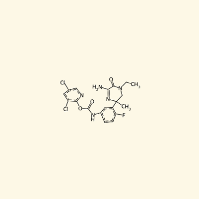 CCN1CC(C)(c2cc(NC(=O)Oc3ncc(Cl)cc3Cl)ccc2F)N=C(N)C1=O